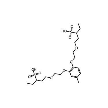 CCC(CCOCCOc1ccc(C)cc1OCCOCCC(CC)S(=O)(=O)O)S(=O)(=O)O